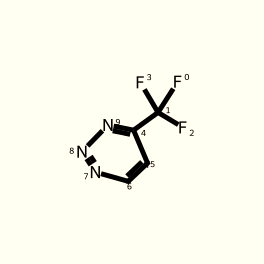 FC(F)(F)c1[c]cnnn1